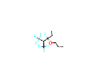 CCCOC(F)(CC)C(C(F)(F)F)C(F)(F)F